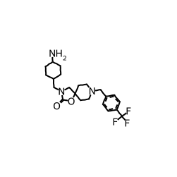 NC1CCC(CN2CC3(CCN(Cc4ccc(C(F)(F)F)cc4)CC3)OC2=O)CC1